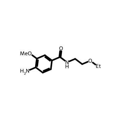 CCOCCNC(=O)c1ccc(N)c(OC)c1